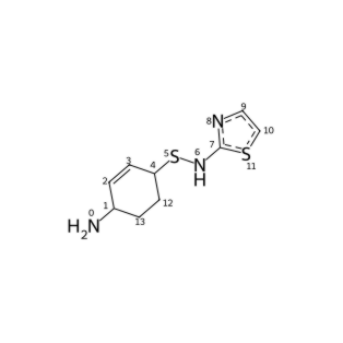 NC1C=CC(SNc2nccs2)CC1